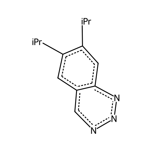 CC(C)c1cc2cnnnc2cc1C(C)C